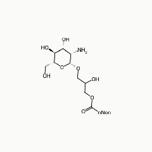 CCCCCCCCCC(=O)OCC(O)CO[C@@H]1O[C@H](CO)[C@@H](O)[C@H](O)[C@@H]1N